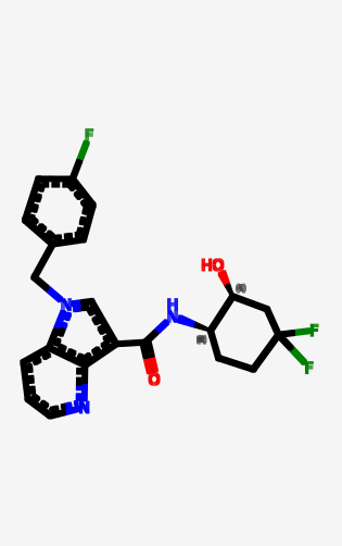 O=C(N[C@@H]1CCC(F)(F)C[C@@H]1O)c1cn(Cc2ccc(F)cc2)c2cccnc12